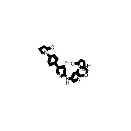 CC(C)c1cc(Nc2cnc3c(c2)N2C(=O)CC[C@H]2CO3)ncc1-c1ccc(N2CCCC2=O)cc1